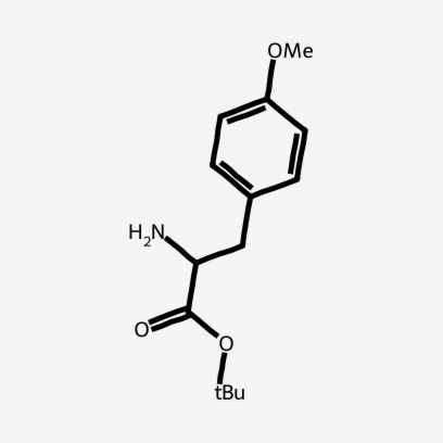 COc1ccc(CC(N)C(=O)OC(C)(C)C)cc1